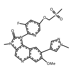 COc1cc2ncc3c(c2cc1-c1cnn(C)c1)n(-c1ncc(OCS(C)(=O)=O)cc1F)c(=O)n3C